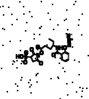 CCC(CCC(=O)ON1C(=O)CC(S(=O)(=O)O)C1=O)NC(=O)c1ccccc1ON=[N+]=[N-]